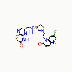 O=C1CSc2ncc(CNC[C@@H]3CCN(CCn4c(=O)ccc5ncc(F)cc54)C3)nc2N1